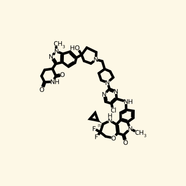 Cn1nc(C2CCC(=O)NC2=O)c2ccc(C3(O)CCN(CC4CCN(c5ncc(Cl)c(Nc6ccc7c(c6)c6c(c(=O)n7C)OCC(F)(F)[C@H](C7CC7)N6)n5)CC4)CC3)cc21